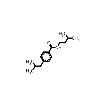 CC(C)CCNC(=O)c1ccc(CC(C)C)cc1